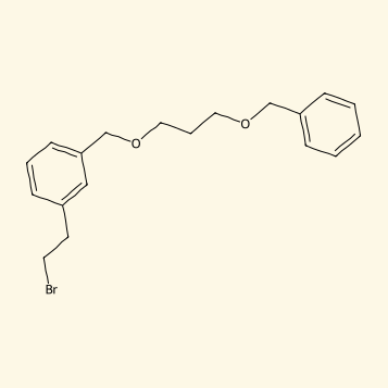 BrCCc1cccc(COCCCOCc2ccccc2)c1